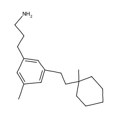 Cc1cc(CCCN)cc(CCC2(C)CCCCC2)c1